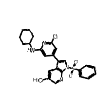 O=S(=O)(c1ccccc1)n1cc(-c2cc(Cl)nc(NC3CCCCC3)c2)c2cc(O)cnc21